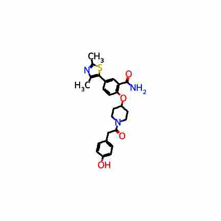 Cc1nc(C)c(-c2ccc(OC3CCN(C(=O)Cc4ccc(O)cc4)CC3)c(C(N)=O)c2)s1